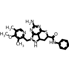 COc1c(C)cnc(CN2NC3CC(C(=O)Nc4ccccc4)Sc4nc(N)nc2c43)c1C